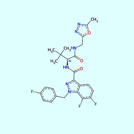 Cc1nnc(CNC(=O)[C@@H](NC(=O)c2nn(Cc3ccc(F)cc3)c3c(F)c(F)ccc23)C(C)(C)C)o1